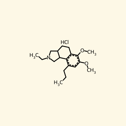 CCCc1cc(OC)c(OC)c2c1C1CN(CC)CC1CC2.Cl